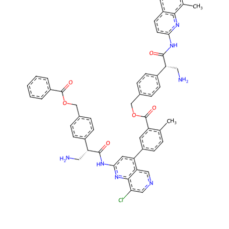 Cc1ccc(-c2cc(NC(=O)[C@H](CN)c3ccc(COC(=O)c4ccccc4)cc3)nc3c(Cl)cncc23)cc1C(=O)OCc1ccc([C@@H](CN)C(=O)Nc2ccc3cncc(C)c3n2)cc1